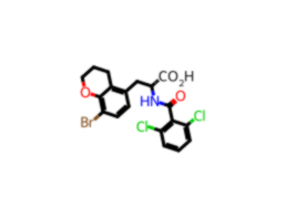 O=C(NC(Cc1ccc(Br)c2c1CCCO2)C(=O)O)c1c(Cl)cccc1Cl